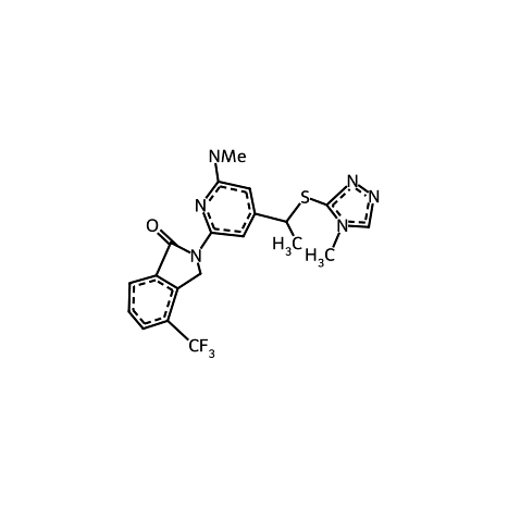 CNc1cc(C(C)Sc2nncn2C)cc(N2Cc3c(cccc3C(F)(F)F)C2=O)n1